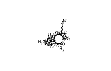 CC[C@H]1OC(=O)[C@H](C)C(=O)[C@H](C)[C@@H](O[C@@H]2OC(C)CC(N(C)C)C2O)[C@](C)(OC)C[C@@H](C)C(=O)[C@H](C)[C@H]2N(CCCCN=[N+]=[N-])C(=O)O[C@]12C